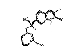 CCc1cc2ccc(C(C#N)(CC)Cc3cccc(OC)c3)cc2[nH]c1=O